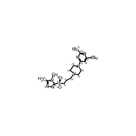 Cc1nnc(S(=O)(=O)CCCN2CCN(c3cc(C(C)(C)C)nc(C(C)(C)C)n3)CC2)n1C